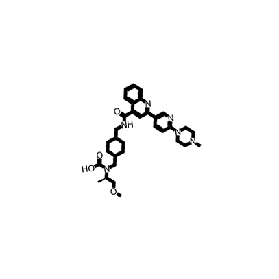 COC[C@@H](C)N(CC1CCC(CNC(=O)c2cc(-c3ccc(N4CCN(C)CC4)nc3)nc3ccccc23)CC1)C(=O)O